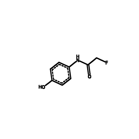 O=C(CF)Nc1ccc(O)cc1